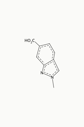 Cn1cc2ccc(C(=O)O)cc2n1